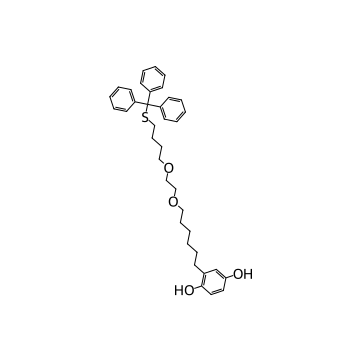 Oc1ccc(O)c(CCCCCCOCCOCCCCSC(c2ccccc2)(c2ccccc2)c2ccccc2)c1